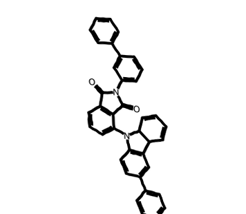 O=C1c2cccc(N3c4ccc(-c5ccncc5)cc4C4C=CC=CC43)c2C(=O)N1c1cccc(-c2ccccc2)c1